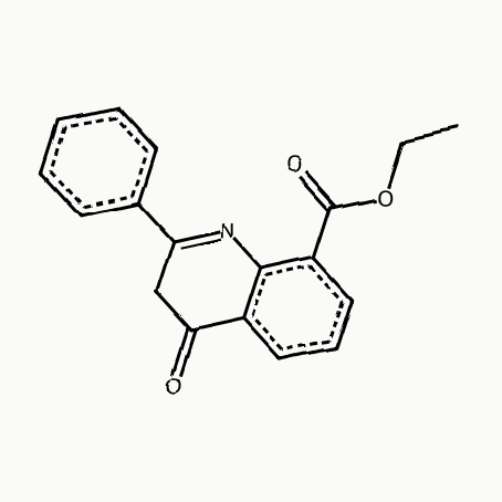 CCOC(=O)c1cccc2c1N=C(c1ccccc1)CC2=O